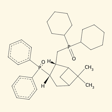 CC1(C)C2CC1[C@@H](CP(=O)(C1CCCCC1)C1CCCCC1)[C@@H](P(=O)(c1ccccc1)c1ccccc1)C2